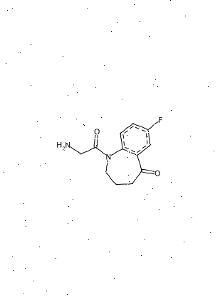 NCC(=O)N1CCCC(=O)c2cc(F)ccc21